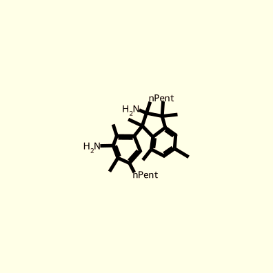 CCCCCc1cc(C2(C)c3c(C)cc(C)cc3C(C)(C)C2(N)CCCCC)c(C)c(N)c1C